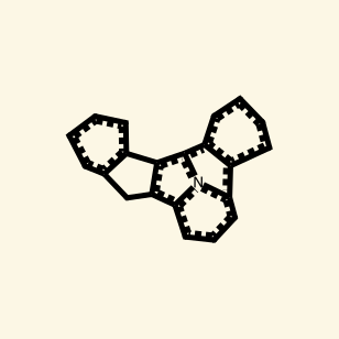 c1ccc2c(c1)Cc1c-2c2c3ccccc3c3cccc1n32